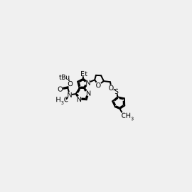 CCc1cc2c(N(C)C(=O)OC(C)(C)C)ncnc2n1C1CCC(COSc2ccc(C)cc2)O1